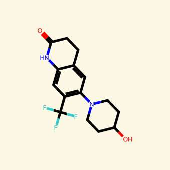 O=C1CCc2cc(N3CCC(O)CC3)c(C(F)(F)F)cc2N1